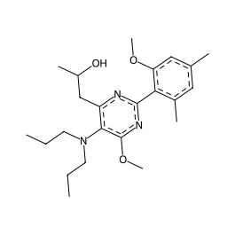 CCCN(CCC)c1c(CC(C)O)nc(-c2c(C)cc(C)cc2OC)nc1OC